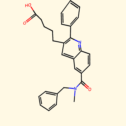 CN(Cc1ccccc1)C(=O)c1ccc2nc(-c3ccccc3)c(CCCCC(=O)O)cc2c1